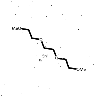 COCCOCCOCCOC.[Er].[Sn]